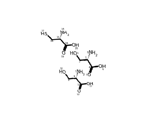 N[C@@H](CO)C(=O)O.N[C@@H](CO)C(=O)O.N[C@@H](CS)C(=O)O